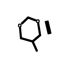 C=C.CC1COCOC1